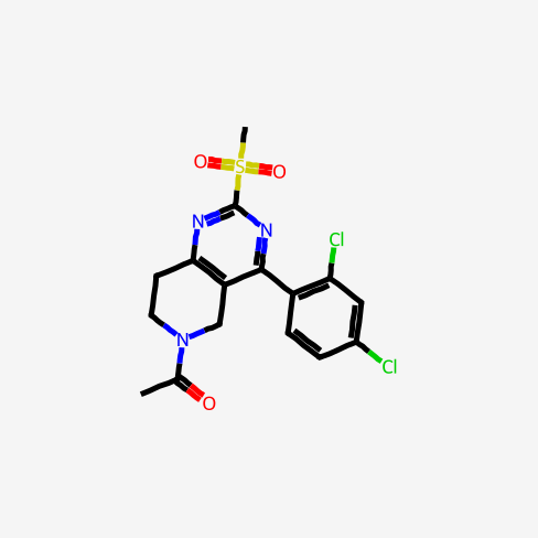 CC(=O)N1CCc2nc(S(C)(=O)=O)nc(-c3ccc(Cl)cc3Cl)c2C1